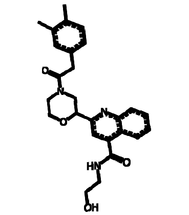 Cc1ccc(CC(=O)N2CCOC(c3cc(C(=O)NCCO)c4ccccc4n3)C2)cc1C